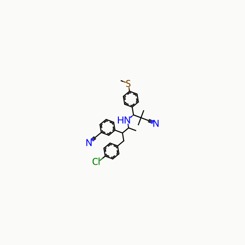 CSc1ccc([C@H](NC(C)C(Cc2ccc(Cl)cc2)c2cccc(C#N)c2)C(C)(C)C#N)cc1